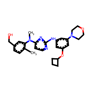 Cc1ccc(CO)cc1N(C)c1ccnc(Nc2cc(OC3CCC3)cc(N3CCOCC3)c2)n1